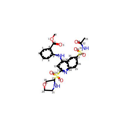 COC(=O)c1ccccc1Nc1cc(S(=O)(=O)C2COCCN2)nc2ccc(S(=O)(=O)NC(C)=O)cc12